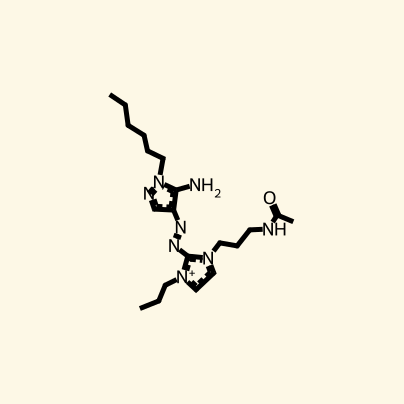 CCCCCCn1ncc(/N=N/c2n(CCCNC(C)=O)cc[n+]2CCC)c1N